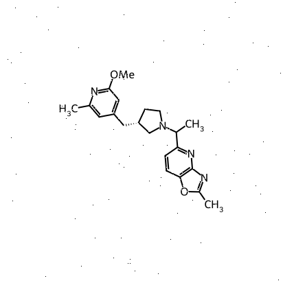 COc1cc(C[C@@H]2CCN(C(C)c3ccc4oc(C)nc4n3)C2)cc(C)n1